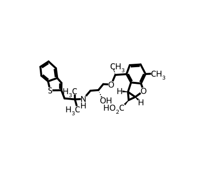 Cc1ccc([C@@H](C)OC[C@H](O)CNC(C)(C)Cc2cc3ccccc3s2)c2c1O[C@@H]1[C@@H](C(=O)O)[C@H]21